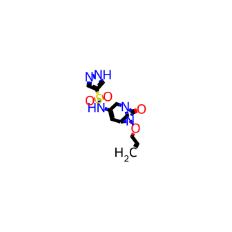 C=CCON1C(=O)N2CC(NS(=O)(=O)c3cn[nH]c3)=CC1C2